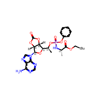 C[C@H](NP(=O)(Oc1ccccc1)O[C@@H](C)[C@H]1O[C@@H](n2cnc3c(N)ncnc32)[C@@H]2OC(=O)O[C@@H]21)C(=O)OCC(C)(C)C